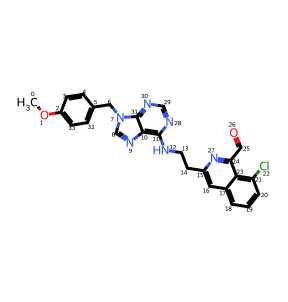 COc1ccc(Cn2cnc3c(NCCc4cc5cccc(Cl)c5c(C=O)n4)ncnc32)cc1